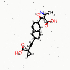 Cc1noc(-c2ccc3cc(C#CC4(C(=O)O)CC4)ccc3c2)c1C(=O)O